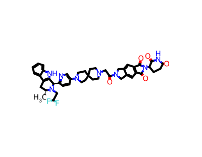 C[C@@H]1Cc2c([nH]c3ccccc23)[C@@H](c2ccc(N3CCC4(CCN(CC(=O)N5Cc6cc7c(cc6C5)C(=O)N(C5CCC(=O)NC5=O)C7=O)CC4)CC3)cn2)N1CC(F)F